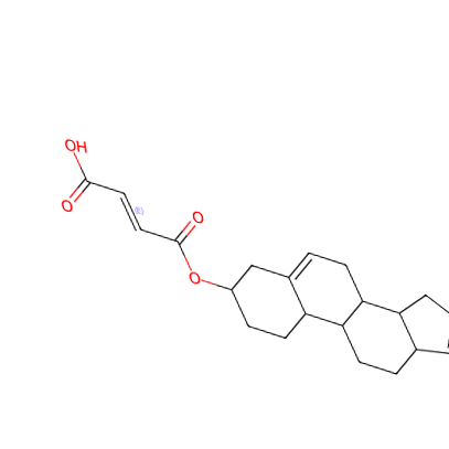 O=C(O)/C=C/C(=O)OC1CCC2C(=CCC3C4CC=CC4CCC23)C1